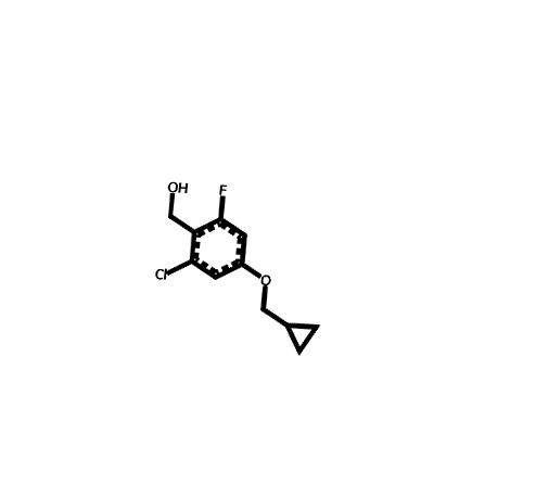 OCc1c(F)cc(OCC2CC2)cc1Cl